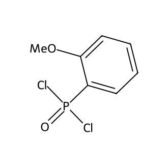 COc1ccccc1P(=O)(Cl)Cl